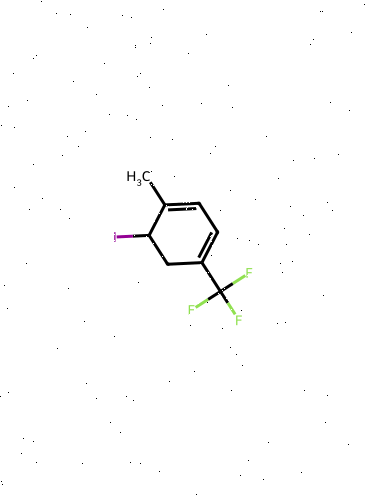 CC1=CC=C(C(F)(F)F)CC1I